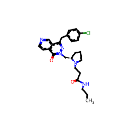 CCCNC(=O)CCN1CCC[C@@H]1Cn1nc(Cc2ccc(Cl)cc2)c2cnccc2c1=O